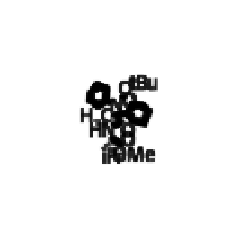 COC(=O)[C@H](CC(C)C)NC(=O)[C@@](C)(c1ccccc1)N(C(=O)OC(C)(C)C)c1ccccc1